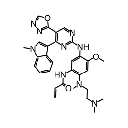 C=CC(=O)Nc1cc(Nc2ncc(-c3nnco3)c(-c3cn(C)c4ccccc34)n2)c(OC)cc1N(C)CCN(C)C